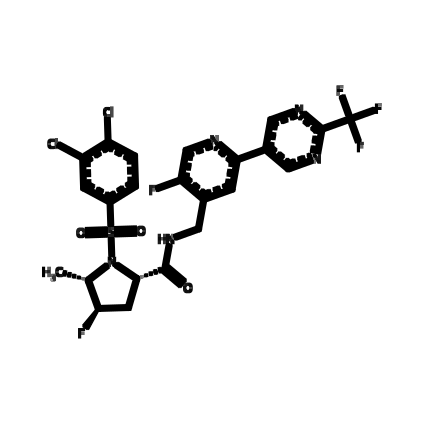 C[C@H]1[C@H](F)C[C@@H](C(=O)NCc2cc(-c3cnc(C(F)(F)F)nc3)ncc2F)N1S(=O)(=O)c1ccc(Cl)c(Cl)c1